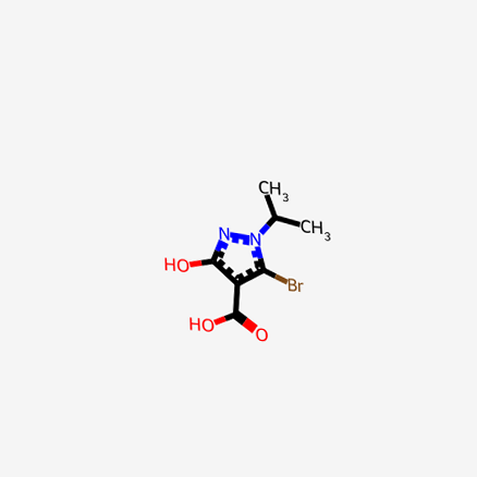 CC(C)n1nc(O)c(C(=O)O)c1Br